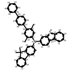 Cc1cc(N(c2ccc3c(c2)C(C)(C)c2ccccc2-3)c2ccc3c(c2)sc2ccccc23)c(C)cc1-c1ccc(-c2ccccc2)cc1